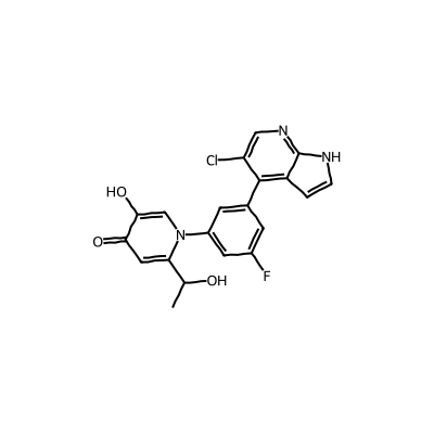 CC(O)c1cc(=O)c(O)cn1-c1cc(F)cc(-c2c(Cl)cnc3[nH]ccc23)c1